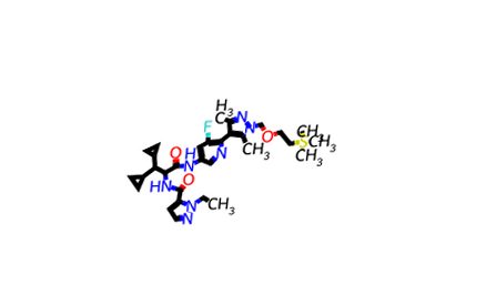 CCn1nccc1C(=O)NC(C(=O)Nc1cnc(-c2c(C)nn(COCCS(C)(C)C)c2C)c(F)c1)C(C1CC1)C1CC1